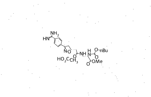 CC(=O)O.CCCCOC(=O)N[C@@H](CNC(=O)C[C@H]1CC(c2ccc(C(=N)N)cc2)=NO1)C(=O)OC